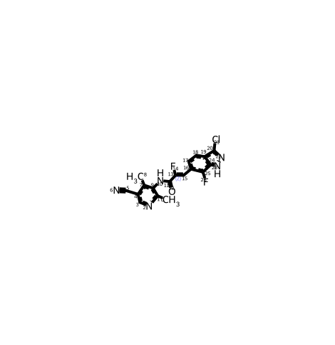 Cc1ncc(C#N)c(C)c1NC(=O)/C(F)=C/c1ccc2c(Cl)n[nH]c2c1F